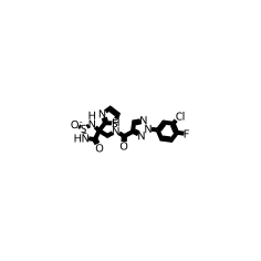 O=C(NCC1(c2nccs2)N[S+]([O-])NC1=O)c1cnn(-c2ccc(F)c(Cl)c2)n1